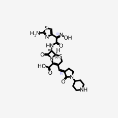 Nc1nc(/C(=N/O)C(=O)N[C@@H]2C(=O)N3C(C(=O)O)=C(/C=C4\CCN(C5CCNCC5)C4=O)CS[C@H]23)cs1